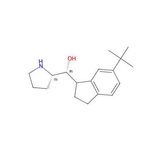 CC(C)(C)c1ccc2c(c1)C([C@@H](O)[C@@H]1CCCN1)CC2